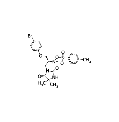 Cc1ccc(S(=O)(=O)ON[C@H](COc2ccc(Br)cc2)CN2C(=O)NC(C)(C)C2=O)cc1